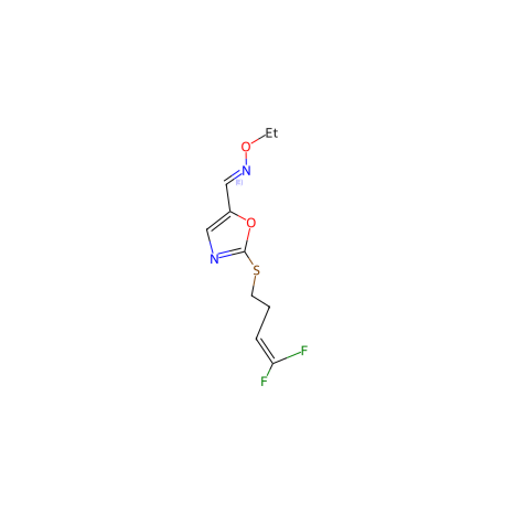 CCO/N=C/c1cnc(SCCC=C(F)F)o1